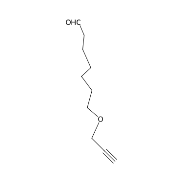 C#CCOCCCCCCC=O